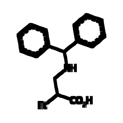 CCC(CNC(c1ccccc1)c1ccccc1)C(=O)O